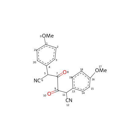 COc1ccc(C(C#N)C(=O)C(=O)C(C#N)c2ccc(OC)cc2)cc1